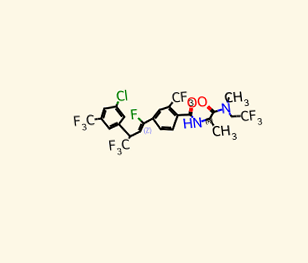 C[C@@H](NC(=O)c1ccc(/C(F)=C/C(c2cc(Cl)cc(C(F)(F)F)c2)C(F)(F)F)cc1C(F)(F)F)C(=O)N(C)CC(F)(F)F